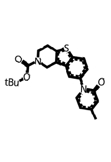 Cc1ccn(-c2ccc3sc4c(c3c2)CN(C(=O)OC(C)(C)C)CC4)c(=O)c1